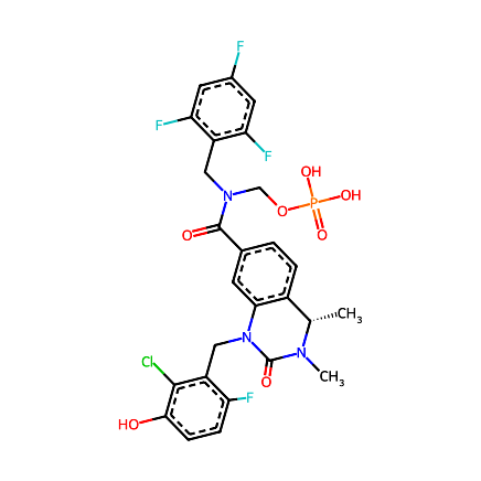 C[C@H]1c2ccc(C(=O)N(COP(=O)(O)O)Cc3c(F)cc(F)cc3F)cc2N(Cc2c(F)ccc(O)c2Cl)C(=O)N1C